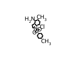 Cc1ccc(S(=O)(=O)n2ccc3c(N)c(C)cc(Cl)c32)cc1